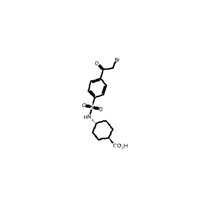 O=C(CBr)c1ccc(S(=O)(=O)N[C@H]2CC[C@H](C(=O)O)CC2)cc1